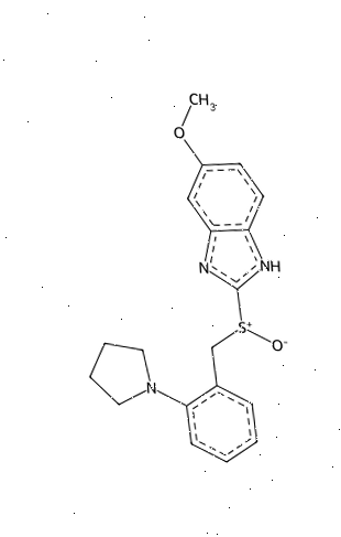 COc1ccc2[nH]c([S+]([O-])Cc3ccccc3N3CCCC3)nc2c1